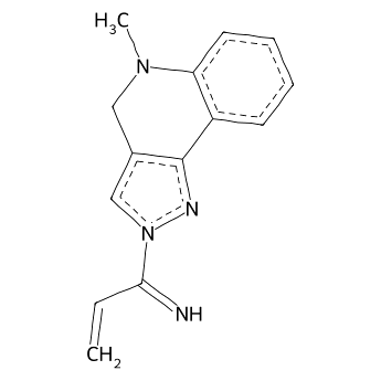 C=CC(=N)n1cc2c(n1)-c1ccccc1N(C)C2